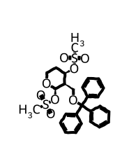 CS(=O)(=O)O[C@H]1OCC[C@@H](OS(C)(=O)=O)[C@H]1COC(c1ccccc1)(c1ccccc1)c1ccccc1